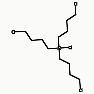 ClCCCC[Si](Cl)(CCCCCl)CCCCCl